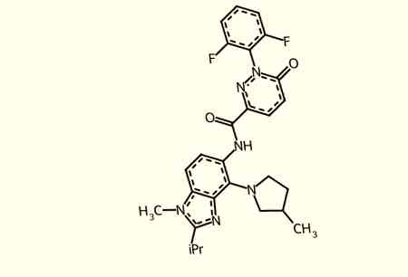 CC1CCN(c2c(NC(=O)c3ccc(=O)n(-c4c(F)cccc4F)n3)ccc3c2nc(C(C)C)n3C)C1